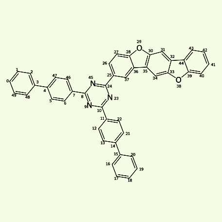 c1ccc(-c2ccc(-c3nc(-c4ccc(-c5ccccc5)cc4)nc(-c4ccc5oc6cc7c(cc6c5c4)oc4ccccc47)n3)cc2)cc1